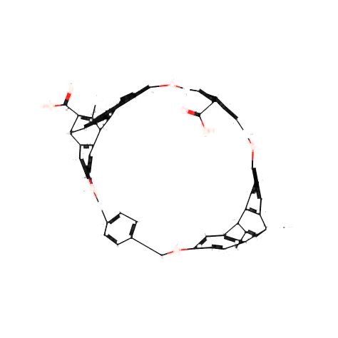 CC1=C[C@H]2c3ccc4cc3C1c1ccc(cc12)OCc1ccc(c(C(=O)O)c1)COc1ccc2c(c1)C1C(C(=O)O)=C(C)[C@@H]2c2cc(ccc21)OCc1ccc(cc1)CO4